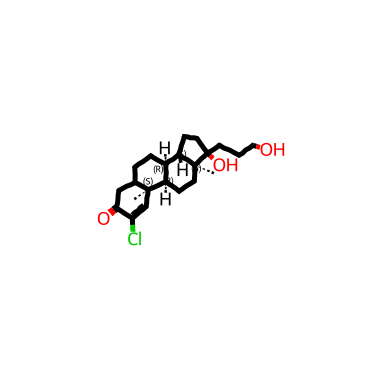 C[C@]12C=C(Cl)C(=O)CC1CC[C@@H]1[C@H]2CC[C@@]2(C)[C@H]1CCC2(O)CCCO